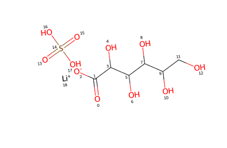 O=C([O-])C(O)C(O)C(O)C(O)CO.O=S(=O)(O)O.[Li+]